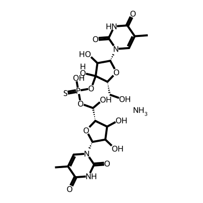 Cc1cn([C@@H]2O[C@H](C(O)OP(O)(=S)OC3(O)C(O)[C@H](n4cc(C)c(=O)[nH]c4=O)O[C@@H]3CO)C(O)C2O)c(=O)[nH]c1=O.N